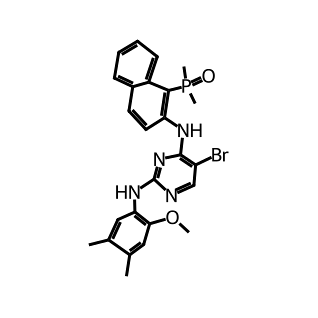 COc1cc(C)c(C)cc1Nc1ncc(Br)c(Nc2ccc3ccccc3c2P(C)(C)=O)n1